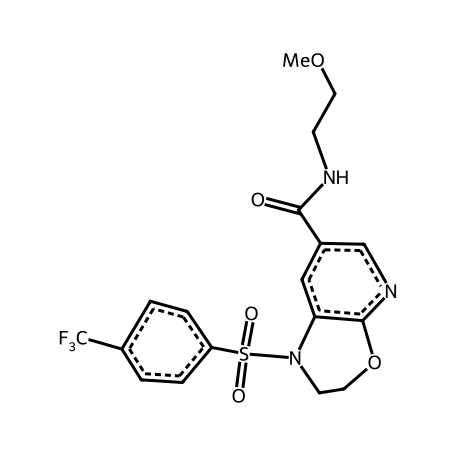 COCCNC(=O)c1cnc2c(c1)N(S(=O)(=O)c1ccc(C(F)(F)F)cc1)CCO2